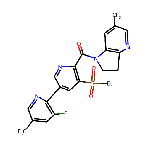 CCS(=O)(=O)c1cc(-c2ncc(C(F)(F)F)cc2F)cnc1C(=O)N1CCc2ncc(C(F)(F)F)cc21